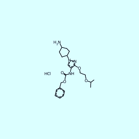 CC(C)OCCOc1nn(C2CCC(N)CC2)cc1NC(=O)OCc1ccccc1.Cl